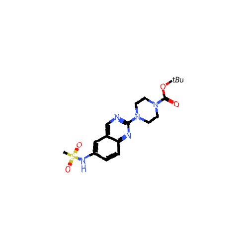 CC(C)(C)OC(=O)N1CCN(c2ncc3cc(NS(C)(=O)=O)ccc3n2)CC1